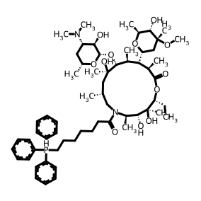 CC[C@H]1OC(=O)[C@H](C)C([C@H]2C[C@@](C)(OC)[C@@H](O)[C@H](C)O2)[C@H](C)[C@@H](O[C@@H]2O[C@H](C)C[C@H](N(C)C)[C@H]2O)[C@](C)(O)C[C@@H](C)CN(C(=O)CCCCCC[PH](c2ccccc2)(c2ccccc2)c2ccccc2)[C@H](C)[C@@H](O)[C@]1(C)O